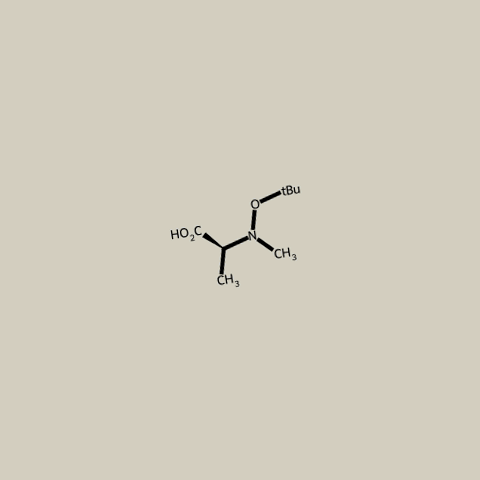 C[C@@H](C(=O)O)N(C)OC(C)(C)C